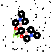 FC(F)(F)c1c2c(cc3c1Oc1cccc4c1B3c1cccc3c5ccccc5n-4c13)B1c3c(cccc3-n3c4ccccc4c4cccc1c43)O2